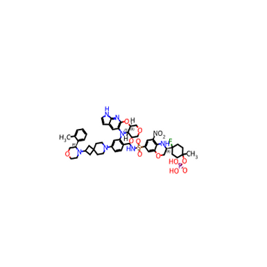 Cc1ccccc1[C@@H]1COCCN1C1CC2(CCN(c3ccc(C(=O)NS(=O)(=O)c4cc5c(c([N+](=O)[O-])c4)N[C@@H](C4(F)CCC(C)(OP(=O)(O)O)CC4)CO5)c(N4c5cc6cc[nH]c6nc5O[C@H]5COCC[C@@H]54)c3)CC2)C1